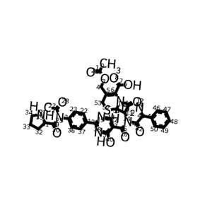 CC(=O)OCC1=C(C(=O)O)N2C(=O)C(N(C(=O)c3cnc(-c4ccc(N(C(C)=O)C(=O)C5CCCN5)cc4)nc3O)C(=O)C(N)c3ccccc3)[C@@H]2SC1